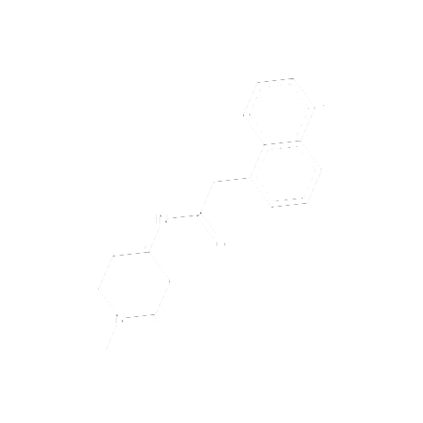 CN1CCC(NC(=O)Cc2cccc3ccccc23)CC1